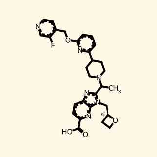 CC(c1nc2ccc(C(=O)O)nc2n1C[C@@H]1CCO1)N1CCC(c2cccc(OCc3ccncc3F)n2)CC1